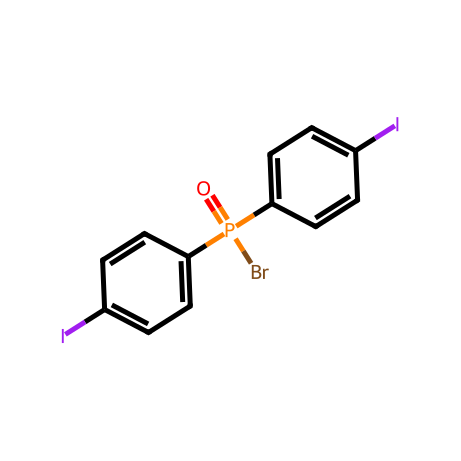 O=P(Br)(c1ccc(I)cc1)c1ccc(I)cc1